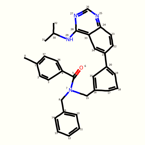 Cc1ccc(C(=O)N(Cc2ccccc2)Cc2cccc(-c3ccc4ncnc(NC(C)C)c4c3)c2)cc1